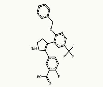 O=C(O)c1cc(C2=C(c3cc(C(F)(F)F)cnc3OCc3ccccc3)CCC2)ccc1F.[NaH]